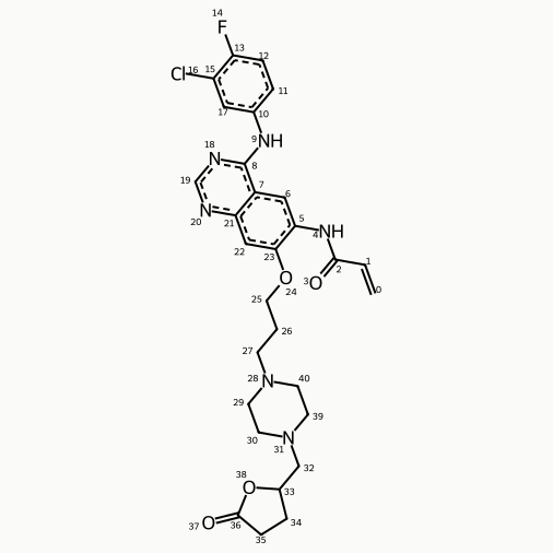 C=CC(=O)Nc1cc2c(Nc3ccc(F)c(Cl)c3)ncnc2cc1OCCCN1CCN(CC2CCC(=O)O2)CC1